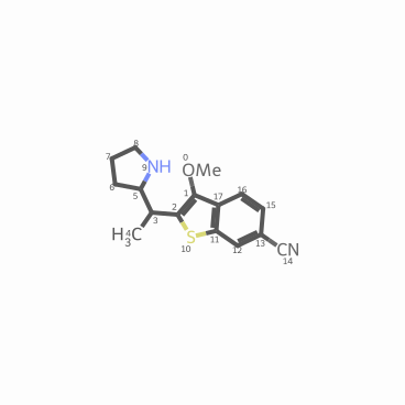 COc1c(C(C)C2CCCN2)sc2cc(C#N)ccc12